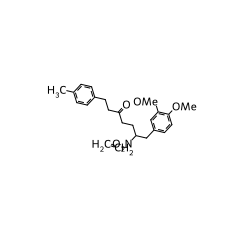 C=C.COc1ccc(CC(CCC(=O)CCc2ccc(C)cc2)[N+](=O)[O-])cc1OC